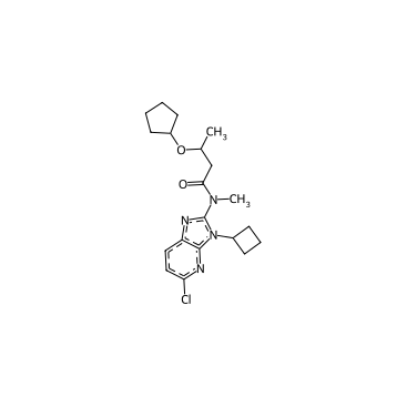 CC(CC(=O)N(C)c1nc2ccc(Cl)nc2n1C1CCC1)OC1CCCC1